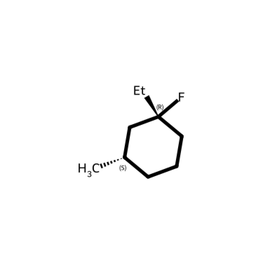 CC[C@@]1(F)CCC[C@H](C)C1